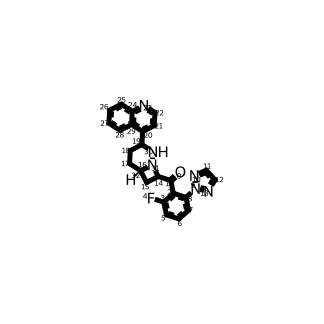 O=C(c1c(F)cccc1-n1nccn1)C1C[C@H]2CCC(c3ccnc4ccccc34)NN12